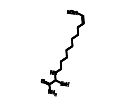 CCCCCCCC/C=C\CCCCCCCCNC([SeH])C(N)=O